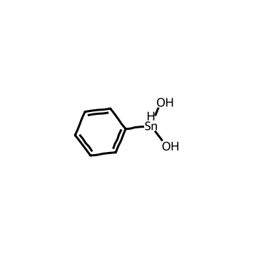 [OH][SnH]([OH])[c]1ccccc1